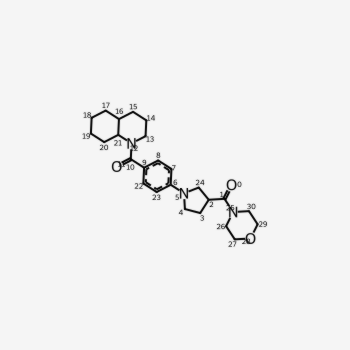 O=C(C1CCN(c2ccc(C(=O)N3CCCC4CCCCC43)cc2)C1)N1CCOCC1